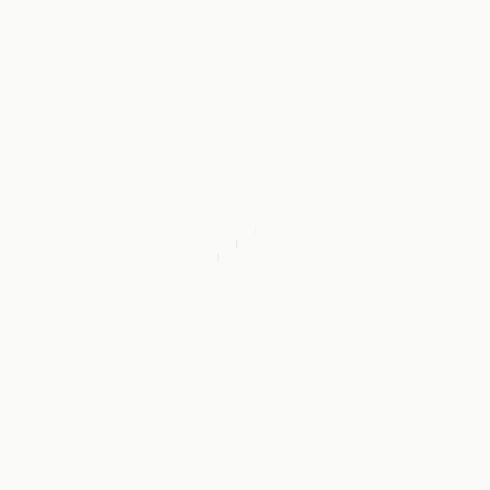 [I-].[I-].[I-].[Tb+3]